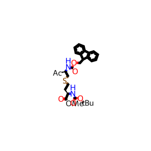 COC(=O)[C@@H](CCSC[C@H](NC(=O)OCC1c2ccccc2-c2ccccc21)C(C)=O)NC(=O)OC(C)(C)C